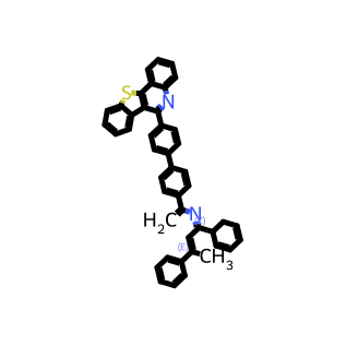 C=C(/N=C(\C=C(/C)c1ccccc1)C1C=CC=CC1)c1ccc(-c2ccc(-c3nc4ccccc4c4sc5ccccc5c34)cc2)cc1